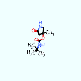 CC(C)(C)NC(=O)O[C@]1(C)CNC(=O)C1